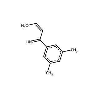 C/C=C\C(=N)c1cc(C)cc(C)c1